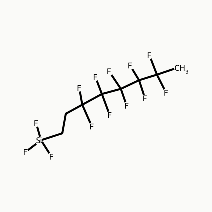 CC(F)(F)C(F)(F)C(F)(F)C(F)(F)C(F)(F)CC[Si](F)(F)F